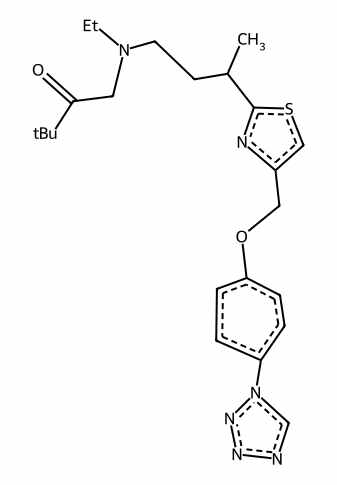 CCN(CCC(C)c1nc(COc2ccc(-n3cnnn3)cc2)cs1)CC(=O)C(C)(C)C